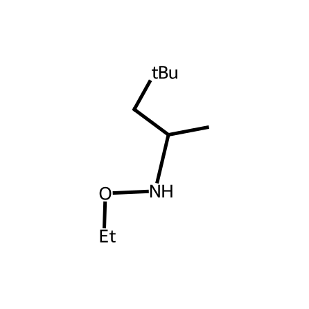 CCONC(C)CC(C)(C)C